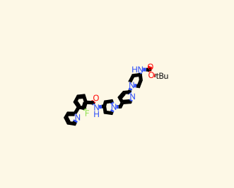 CC(C)(C)OC(=O)NC1CCN(c2ccc(CN3CCC(NC(=O)c4cccc(-c5ccccn5)c4F)CC3)cn2)CC1